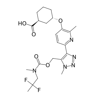 Cc1nc(-c2nnn(C)c2COC(=O)N(C)CC(C)(F)F)ccc1O[C@H]1CCC[C@H](C(=O)O)C1